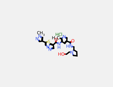 Cc1ncc(C(=O)NCC2CCCN2CCO)cc1NC(=O)c1cnn2cc(-c3cnn(C)c3)sc12.Cl